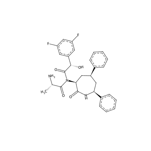 C[C@H](N)C(=O)N(C(=O)[C@@H](O)c1cc(F)cc(F)c1)[C@H]1C[C@@H](c2ccccc2)C[C@@H](c2ccccc2)NC1=O